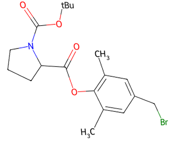 Cc1cc(CBr)cc(C)c1OC(=O)C1CCCN1C(=O)OC(C)(C)C